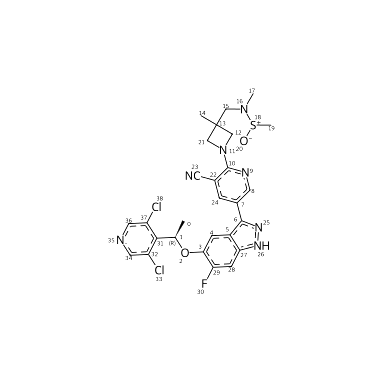 C[C@@H](Oc1cc2c(-c3cnc(N4CC(C)(CN(C)[S+](C)[O-])C4)c(C#N)c3)n[nH]c2cc1F)c1c(Cl)cncc1Cl